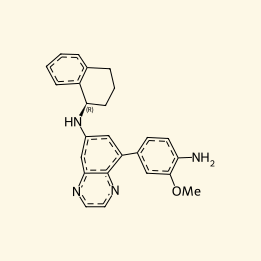 COc1cc(-c2cc(N[C@@H]3CCCc4ccccc43)cc3nccnc23)ccc1N